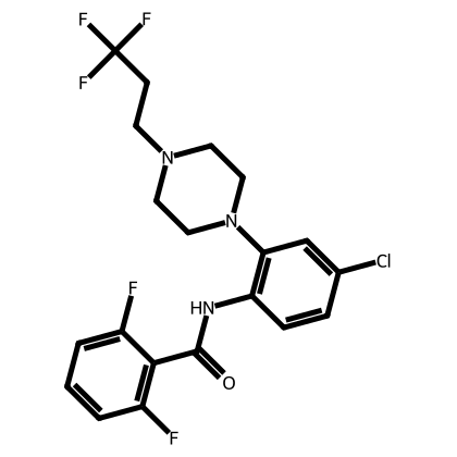 O=C(Nc1ccc(Cl)cc1N1CCN(CCC(F)(F)F)CC1)c1c(F)cccc1F